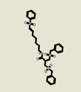 O=C(NCCCCCC=CS(=O)(=O)c1ccccc1)C(CS(=O)(=O)Cc1ccccc1)CS(=O)(=O)Cc1ccccc1